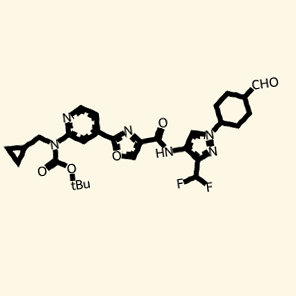 CC(C)(C)OC(=O)N(CC1CC1)c1cc(-c2nc(C(=O)Nc3cn(C4CCC(C=O)CC4)nc3C(F)F)co2)ccn1